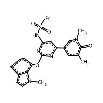 Cc1cc(-c2cc(NS(=O)(=O)C(C)C)nc(Oc3cccc4ccn(C)c34)n2)cn(C)c1=O